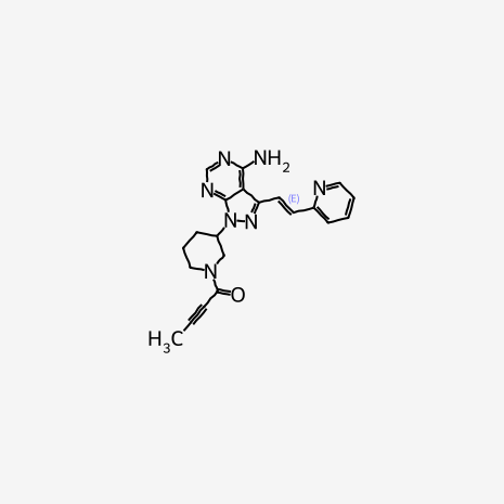 CC#CC(=O)N1CCCC(n2nc(/C=C/c3ccccn3)c3c(N)ncnc32)C1